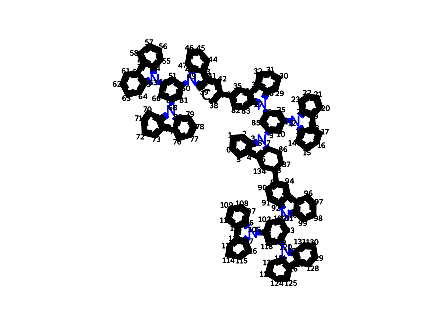 c1ccc2c(c1)c1c(n2-c2cc(-n3c4ccccc4c4ccccc43)cc(-n3c4ccccc4c4cc(-c5ccc6c(c5)c5ccccc5n6-c5cc(-n6c7ccccc7c7ccccc76)cc(-n6c7ccccc7c7ccccc76)c5)ccc43)c2)CCC(c2ccc3c(c2)c2ccccc2n3-c2cc(-n3c4ccccc4c4ccccc43)cc(-n3c4ccccc4c4ccccc43)c2)C1